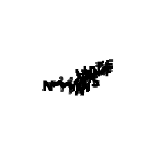 N#CCCCCn1nnc(NC(=S)NCC(F)(F)F)n1